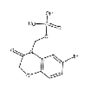 CCc1ccc2c(c1)N(COP(=O)(O)O)C(=O)CO2